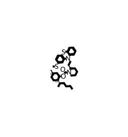 CCCCC(C)[C@@H]1CC[C@@H](C)C[C@H]1OC(=O)N1CCCC[C@@H]1CCN1c2ccccc2Sc2ccc(SC)cc21